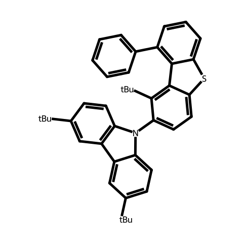 CC(C)(C)c1ccc2c(c1)c1cc(C(C)(C)C)ccc1n2-c1ccc2sc3cccc(-c4ccccc4)c3c2c1C(C)(C)C